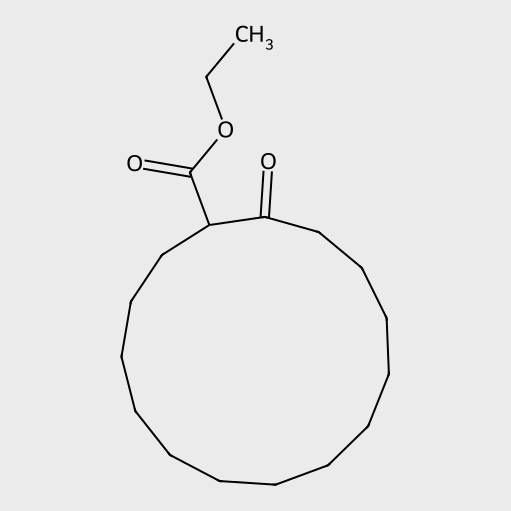 CCOC(=O)C1CCCCCCCCCCCCCC1=O